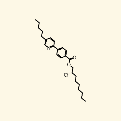 CCCCCCC[C@H](Cl)COC(=O)c1ccc(-c2ccc(CCCCC)cn2)cc1